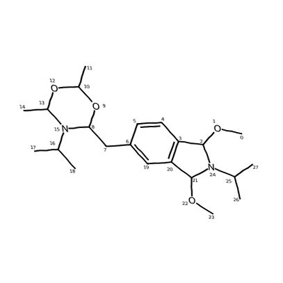 COC1c2ccc(CC3OC(C)OC(C)N3C(C)C)cc2C(OC)N1C(C)C